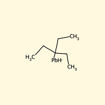 CC[C]([PbH])(CC)CC